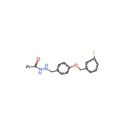 CC(C)C(=O)NNCc1ccc(OCc2cccc(F)c2)cc1